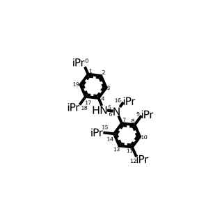 CC(C)c1ccc(NN(c2c(C(C)C)cc(C(C)C)cc2C(C)C)C(C)C)c(C(C)C)c1